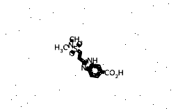 CN(C)S(=O)(=O)CCc1nc2ccc(C(=O)O)cc2[nH]1